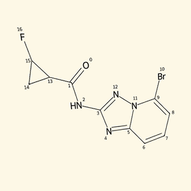 O=C(Nc1nc2cccc(Br)n2n1)C1CC1F